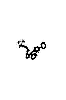 CC(C)(C)OC(=O)CCC(=O)OC(c1ccccc1)(c1ccc(C2CCCCCC2)cc1)c1ccccc1Cl